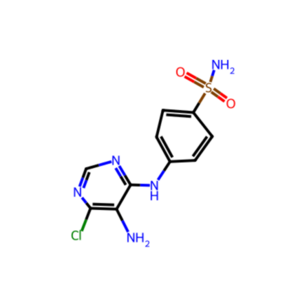 Nc1c(Cl)ncnc1Nc1ccc(S(N)(=O)=O)cc1